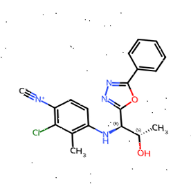 [C-]#[N+]c1ccc(N[C@@H](c2nnc(-c3ccccc3)o2)[C@H](C)O)c(C)c1Cl